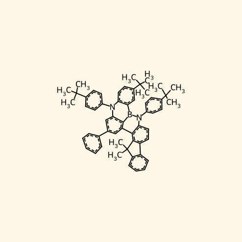 CC(C)(C)c1ccc(N2B3c4cc(C(C)(C)C)ccc4N(c4ccc(C(C)(C)C)cc4)c4cc(-c5ccccc5)cc(c43)-c3c2ccc2c3C(C)(C)c3ccccc3-2)cc1